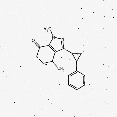 CC1CCC(=O)c2c1c(C1CC1c1ccccc1)nn2C